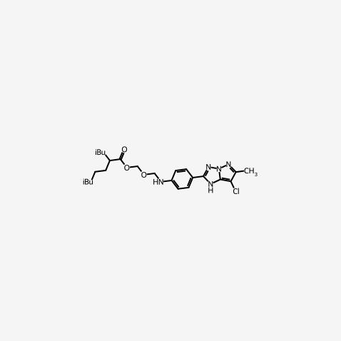 CCC(C)CCC(C(=O)OCOCNc1ccc(-c2nn3nc(C)c(Cl)c3[nH]2)cc1)C(C)CC